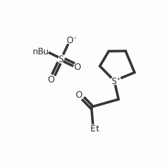 CCC(=O)C[S+]1CCCC1.CCCCS(=O)(=O)[O-]